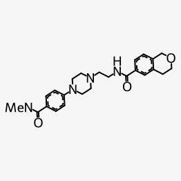 CNC(=O)c1ccc(N2CCN(CCNC(=O)c3ccc4c(c3)CCOC4)CC2)cc1